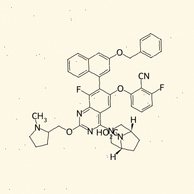 CN1CCCC1COc1nc(N2C[C@H]3CC[C@@H](C2)N3C(=O)O)c2cc(Oc3cccc(F)c3C#N)c(-c3cc(OCc4ccccc4)cc4ccccc34)c(F)c2n1